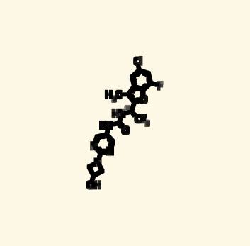 Cc1c([C@H](NC(=O)Nc2cnc(N3CC(O)C3)nc2)C(F)(F)F)oc2c(F)cc(Cl)cc12